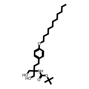 CCCCCCCCCCCOc1ccc(CCC(CO)(CO)NC(=O)OC(C)(C)C)cc1